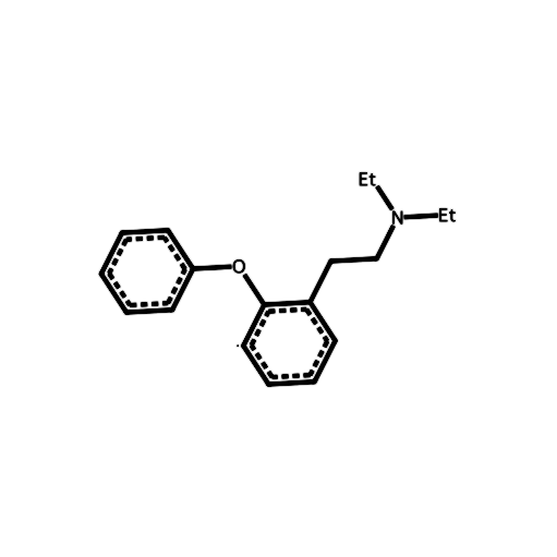 CCN(CC)CCc1ccc[c]c1Oc1ccccc1